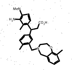 CNc1ccc(C(CC(=O)O)c2ccc(C)c(CN3CCOc4c(C)cccc4C3)c2)c(C)c1N